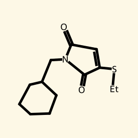 CCSC1=CC(=O)N(CC2CCCCC2)C1=O